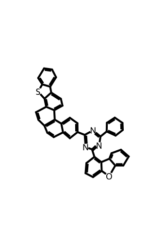 c1ccc(-c2nc(-c3ccc4c(ccc5ccc6c(ccc7c8ccccc8sc76)c54)c3)nc(-c3cccc4oc5ccccc5c34)n2)cc1